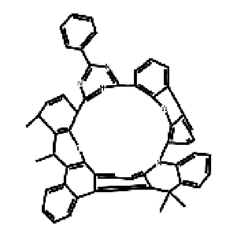 CC1C=CC2C3=C1C(C)c1c(c4ccc5c(c4c4ccccc14)C(C)(C)c1ccccc1N5c1cccc4c1oc1c(cccc14)-c1nc(-c4ccccc4)nc2n1)C3